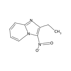 CCc1nc2ccccn2c1[N+](=O)[O-]